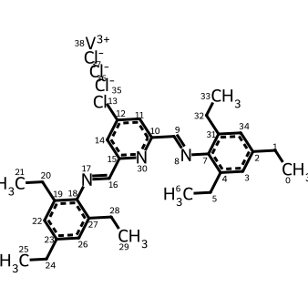 CCc1cc(CC)c(N=Cc2cc(Cl)cc(C=Nc3c(CC)cc(CC)cc3CC)n2)c(CC)c1.[Cl-].[Cl-].[Cl-].[V+3]